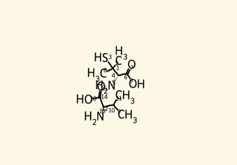 CC(C)(S)[C@@H](N)C(=O)O.CC(C)[C@H](N)C(=O)O